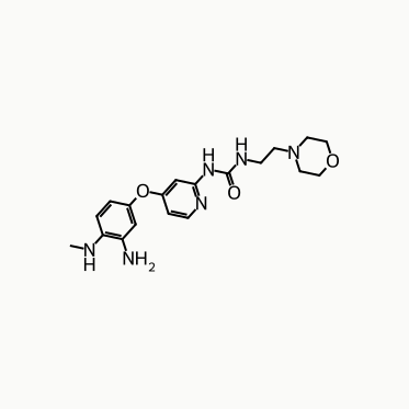 CNc1ccc(Oc2ccnc(NC(=O)NCCN3CCOCC3)c2)cc1N